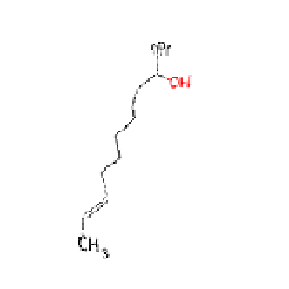 CC=CCCCCCC(O)CCC